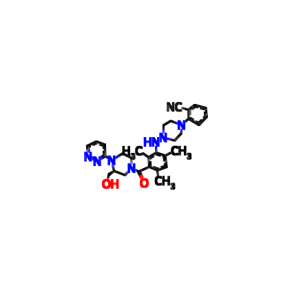 Cc1cc(C)c(C(=O)N2CCN(c3cccnn3)[C@H](CO)C2)c(C)c1NN1CCN(c2ccccc2C#N)CC1